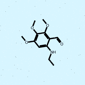 CCNc1cc(OC)c(OC)c(OC)c1C=O